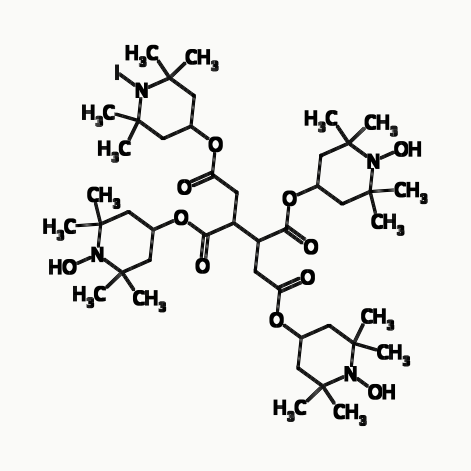 CC1(C)CC(OC(=O)CC(C(=O)OC2CC(C)(C)N(O)C(C)(C)C2)C(CC(=O)OC2CC(C)(C)N(I)C(C)(C)C2)C(=O)OC2CC(C)(C)N(O)C(C)(C)C2)CC(C)(C)N1O